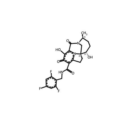 C[C@H]1CC[C@H](O)[C@]23CCc4c(C(=O)NCc5c(F)cc(F)cc5F)c(=O)c(O)c(n42)C(=O)N1C3